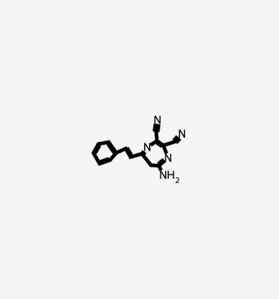 N#CC1=C(C#N)N=C(C=Cc2ccccc2)CC(N)=N1